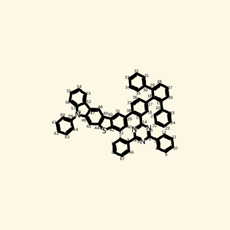 c1ccc(-c2nc(-c3ccccc3)nc(-c3cc(-c4c(-c5ccccc5)cccc4-c4ccccc4)ccc3-c3ccc4sc5cc6c(cc5c4c3)c3ccccc3n6-c3ccccc3)n2)cc1